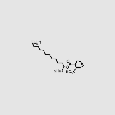 CCCCCCC(CCCCCCCCCCC(=O)O)OC(=O)c1ccccc1C(=O)O